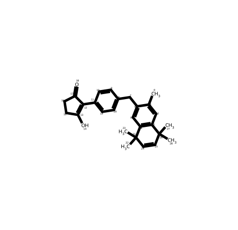 Cc1cc2c(cc1Cc1ccc(C3=C(O)CCC3=O)cc1)C(C)(C)C=CC2(C)C